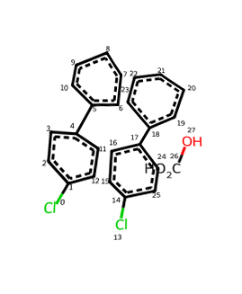 Clc1ccc(-c2ccccc2)cc1.Clc1ccc(-c2ccccc2)cc1.O=C(O)O